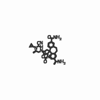 C=C(N)c1ccc2c(c1)CCc1cc(C(N)=O)ccc1C2(C[C@@H](C)NCC(=C)N(C(C)C#N)C1CC1)c1nc(=O)on1C